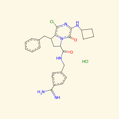 Cl.N=C(N)c1ccc(CNC(=O)C2CC(Cc3ccccc3)c3c(Cl)nc(NC4CCC4)c(=O)n32)cc1